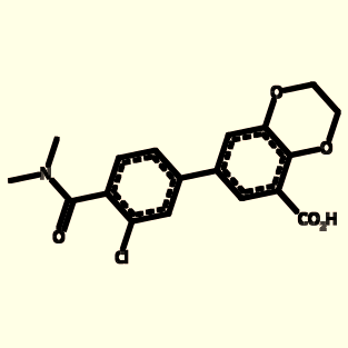 CN(C)C(=O)c1ccc(-c2cc3c(c(C(=O)O)c2)OCCO3)cc1Cl